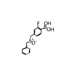 [O-][S+](Cc1ccccc1)Cc1ccc(B(O)O)c(F)c1